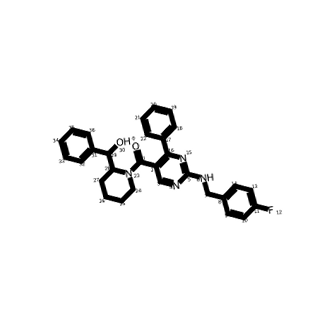 O=C(c1cnc(NCc2ccc(F)cc2)nc1-c1ccccc1)N1CCCCC1C(O)c1ccccc1